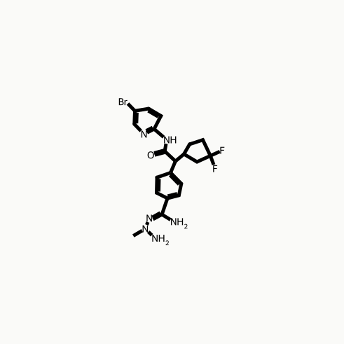 CN(N)/N=C(\N)c1ccc(C(C(=O)Nc2ccc(Br)cn2)C2CCC(F)(F)C2)cc1